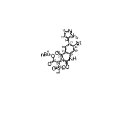 CCCCOC(=O)N(n1c(=O)[nH]c2cc(CC)c(-c3ccnn3C)cc2c1=O)S(C)(=O)=O